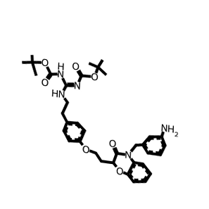 CC(C)(C)OC(=O)N=C(NCCc1ccc(OCCC2Oc3ccccc3N(Cc3cccc(N)c3)C2=O)cc1)NC(=O)OC(C)(C)C